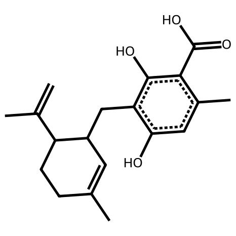 C=C(C)C1CCC(C)=CC1Cc1c(O)cc(C)c(C(=O)O)c1O